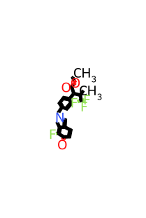 CCOC(=O)C(c1ccc(CN2C=C3C=CC(=O)C(F)=C3C2)cc1)C(C)C(F)(F)F